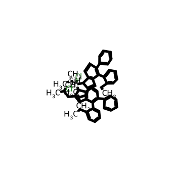 CCc1ccccc1-c1c(-c2ccccc2)ccc2c1C=C(CC(C)C)[CH]2[Zr]([Cl])([Cl])([CH]1C(CC(C)C)=Cc2c1ccc(-c1ccccc1)c2-c1ccccc1CC)[SiH](C)C